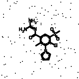 Cc1c(C(=O)N=C(N)N)cc(S(C)(=O)=O)c(Cl)c1-n1cccc1